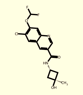 C[C@]1(O)C[C@H](NC(=O)c2cnc3cc(OC(F)F)c(Cl)cc3c2)C1